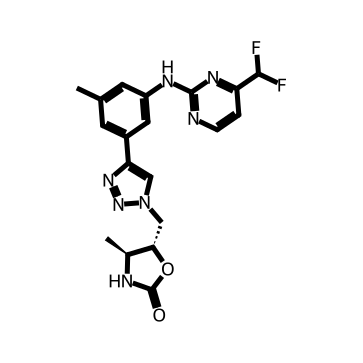 Cc1cc(Nc2nccc(C(F)F)n2)cc(-c2cn(C[C@@H]3OC(=O)N[C@H]3C)nn2)c1